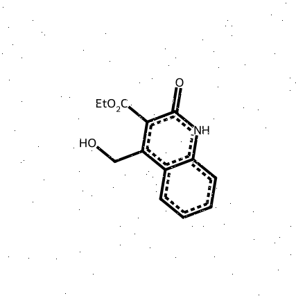 CCOC(=O)c1c(CO)c2ccccc2[nH]c1=O